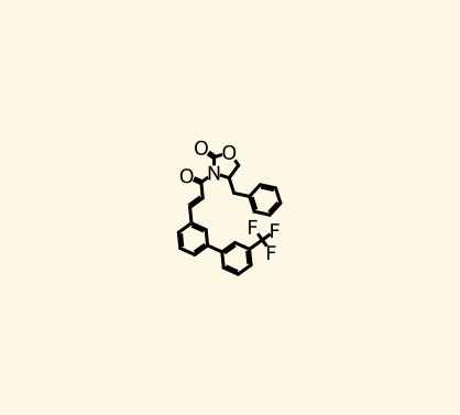 O=C(C=Cc1cccc(-c2cccc(C(F)(F)F)c2)c1)N1C(=O)OCC1Cc1ccccc1